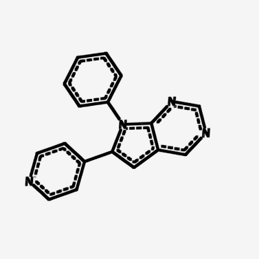 c1ccc(-n2c(-c3ccncc3)cc3cncnc32)cc1